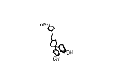 CCCC[C@H]1CC[C@H](CCC2CCC(c3ccc(O)cc3)(c3ccc(O)cc3)CC2)CC1